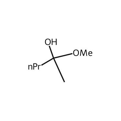 CCCC(C)(O)OC